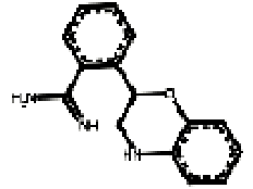 N=C(N)c1ccccc1C1CNc2ccccc2O1